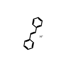 C(=Cc1ccccc1)c1ccccc1.[H+]